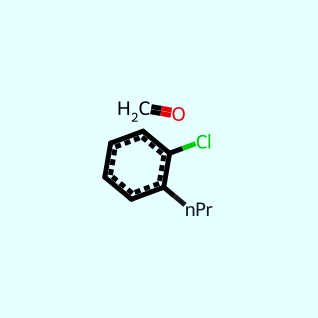 C=O.CCCc1ccccc1Cl